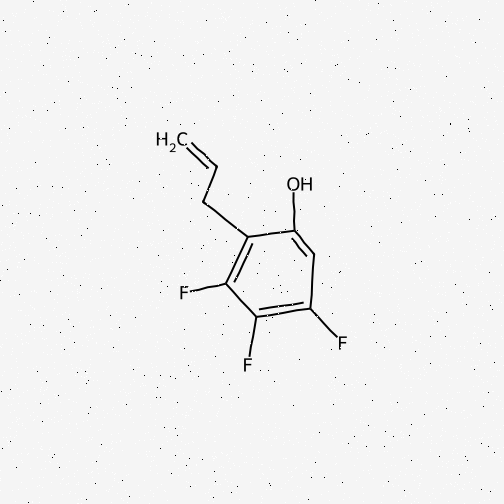 C=CCc1c(O)cc(F)c(F)c1F